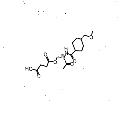 COCC1CCC(C(=O)N[C@@H](COC(=O)CCC(=O)O)C(C)=O)CC1